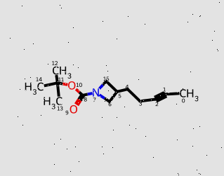 CC#CCCC1CN(C(=O)OC(C)(C)C)C1